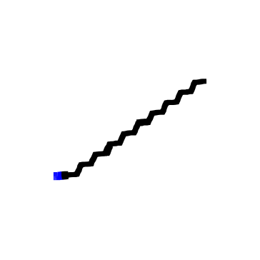 CCCCCCCC/C=C/CCC/C=C/CCCCC#N